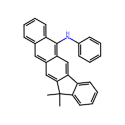 CC1(C)c2ccccc2-c2cc3c(Nc4ccccc4)c4ccccc4cc3cc21